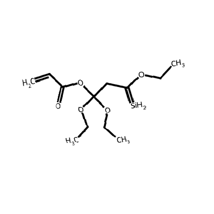 C=CC(=O)OC(CC(=[SiH2])OCC)(OCC)OCC